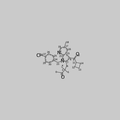 CC(=O)C(C)(C)Cc1c(C(=O)C2CCC2)c2cc(C)cnc2n1Cc1ccc(Cl)cc1